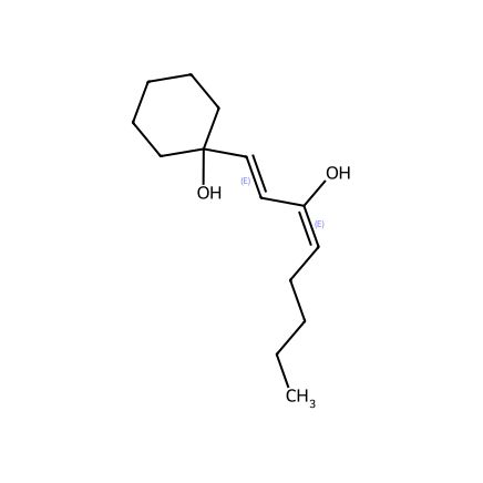 CCCC/C=C(O)\C=C\C1(O)CCCCC1